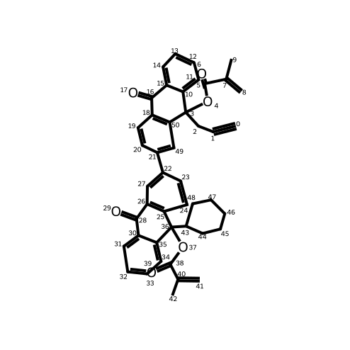 C#CCC1(OC(=O)C(=C)C)c2ccccc2C(=O)c2ccc(-c3ccc4c(c3)C(=O)c3ccccc3C4(OC(=O)C(=C)C)C3CCCCC3)cc21